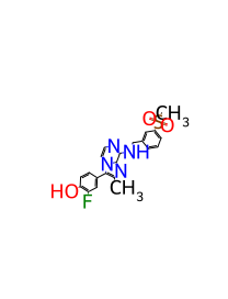 Cc1nc2c(NCc3cccc(S(C)(=O)=O)c3)nccn2c1-c1ccc(O)c(F)c1